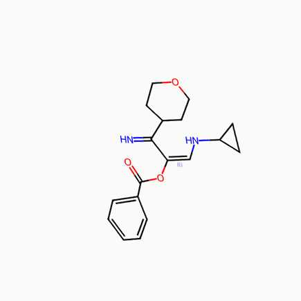 N=C(/C(=C\NC1CC1)OC(=O)c1ccccc1)C1CCOCC1